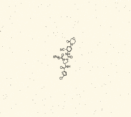 CC(C)(C)OC(=O)N1CC(NC(=O)c2ccc(Cl)s2)C[C@H]1C(=O)Nc1ccc(N2CCOCC2=O)cc1C#N